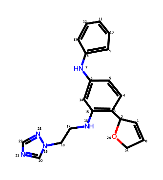 C1=CC(c2ccc(Nc3ccccc3)cc2NCCn2cncn2)OC1